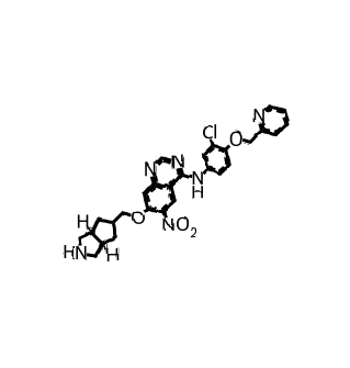 O=[N+]([O-])c1cc2c(Nc3ccc(OCc4ccccn4)c(Cl)c3)ncnc2cc1OCC1C[C@H]2CNC[C@H]2C1